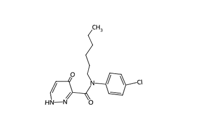 CCCCCCN(C(=O)c1n[nH]ccc1=O)c1ccc(Cl)cc1